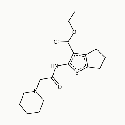 CCOC(=O)c1c(NC(=O)CN2CCCCC2)sc2c1CCC2